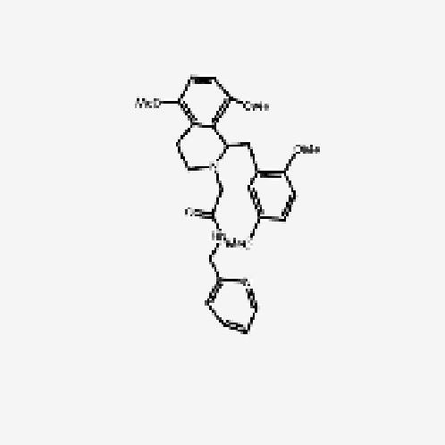 COc1ccc(OC)c(CC2c3c(OC)ccc(OC)c3CCN2CC(=O)NCc2ccccn2)c1